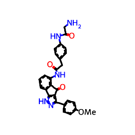 COc1ccc(-c2n[nH]c3c2C(=O)c2c(NC(=O)Cc4ccc(NC(=O)CN)cc4)cccc2-3)cc1